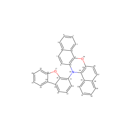 c1ccc2c3c(ccc2c1)N(c1cccc2c1oc1ccccc12)c1c(ccc2ccccc12)O3